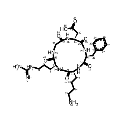 N=C(N)NCCC[C@@H]1NC(=O)[C@H](CCCCN)NC(=O)[C@H](Cc2ccccc2)NC(=O)[C@H](CC(=O)O)NC(=O)CNC1=O